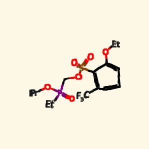 CCOc1cccc(C(F)(F)F)c1S(=O)(=O)OCP(=O)(CC)OC(C)C